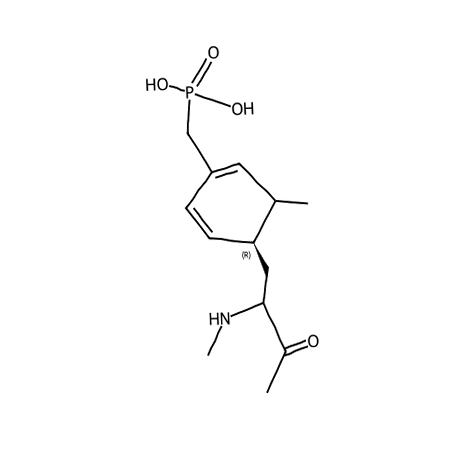 CNC(C[C@H]1C=CC(CP(=O)(O)O)=CC1C)C(C)=O